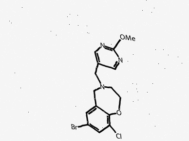 COc1ncc(CN2CCOc3c(Cl)cc(Br)cc3C2)cn1